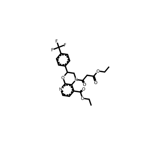 CCOC(=O)CC(=O)N1CC(c2ccc(C(F)(F)F)cc2)Oc2nccc(C(=O)OCC)c21